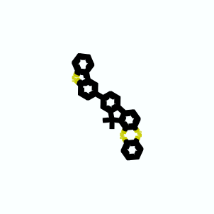 CC1(C)c2cc(-c3ccc4sc5ccccc5c4c3)ccc2-c2ccc3c(c21)Sc1ccccc1S3